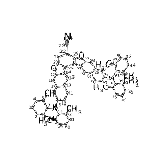 Cc1cccc(C)c1N(c1ccc2cc3c(cc2c1)oc1cc(C#N)c2oc4cc5cc(N(c6c(C)cccc6C)c6c(C)cccc6C)ccc5cc4c2c13)c1c(C)cccc1C